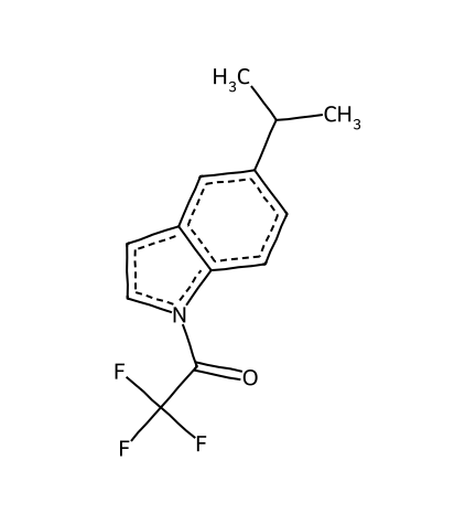 CC(C)c1ccc2c(ccn2C(=O)C(F)(F)F)c1